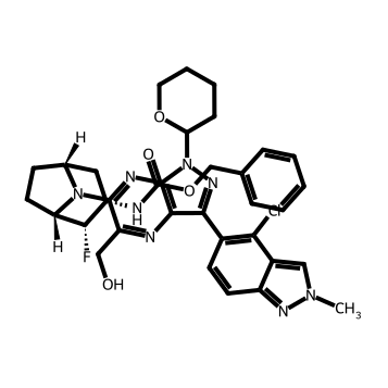 Cn1cc2c(Cl)c(-c3nn(C4CCCCO4)c4nc(N5[C@@H]6CC[C@H]5[C@@H](F)[C@@H](NC(=O)OCc5ccccc5)C6)c(CO)nc34)ccc2n1